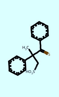 CC(CS(=O)(=O)O)(C(=S)c1ccccc1)c1ccccc1